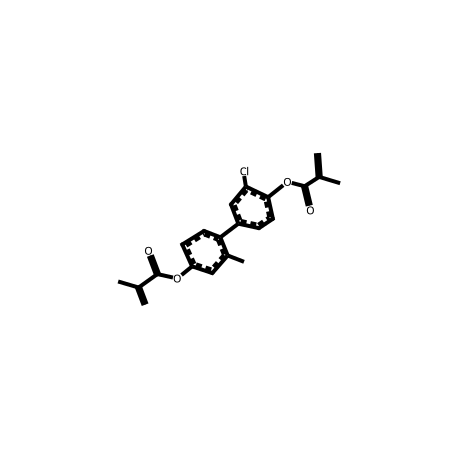 C=C(C)C(=O)Oc1ccc(-c2ccc(OC(=O)C(=C)C)c(Cl)c2)c(C)c1